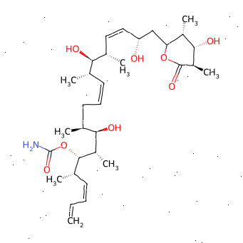 C=C/C=C\[C@H](C)[C@H](OC(N)=O)[C@@H](C)[C@H](O)[C@@H](C)C/C=C\[C@H](C)[C@@H](O)[C@@H](C)/C=C\[C@@H](O)CC1OC(=O)[C@H](C)[C@@H](O)[C@H]1C